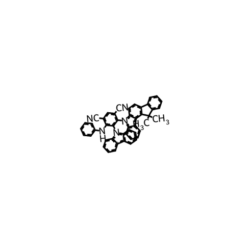 CC1(C)c2ccccc2-c2ccc3c(c21)c1ccccc1n3-c1c(C#N)cc(C#N)c(Nc2ccccc2)c1-n1c2ccccc2c2ccccc21